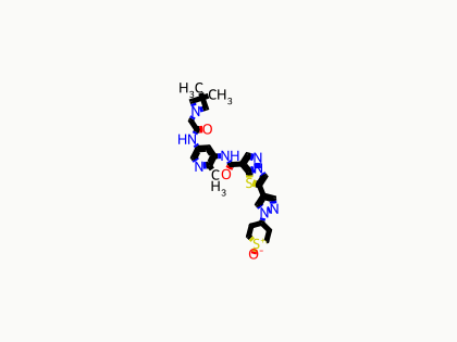 Cc1ncc(NC(=O)CN2CC(C)(C)C2)cc1NC(=O)c1cnn2cc(-c3cnn(C4CC[S+]([O-])CC4)c3)sc12